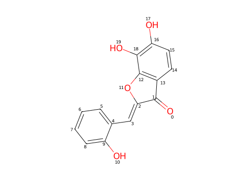 O=C1/C(=C/c2ccccc2O)Oc2c1ccc(O)c2O